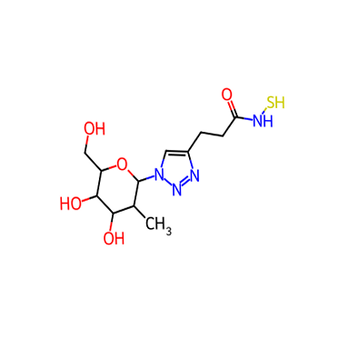 CC1C(O)C(O)C(CO)OC1n1cc(CCC(=O)NS)nn1